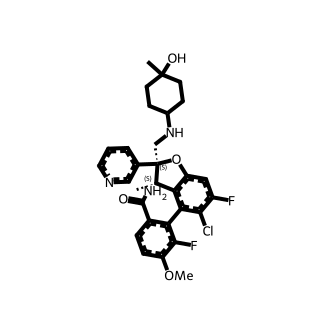 COc1ccc(C(N)=O)c(-c2c(Cl)c(F)cc3c2[C@H](C)[C@@](CNC2CCC(C)(O)CC2)(c2cccnc2)O3)c1F